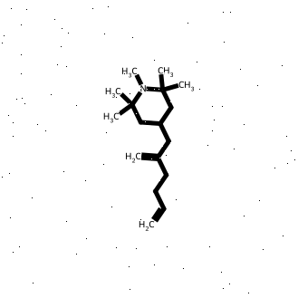 C=CCCC(=C)CC1CC(C)(C)N(C)C(C)(C)C1